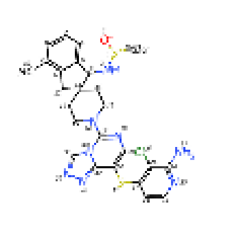 CC(C)(C)[S+]([O-])N[C@@H]1c2cccc(C#N)c2CC12CCN(c1ncc(Sc3ccnc(N)c3Cl)c3nncn13)CC2